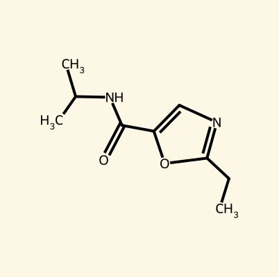 CCc1ncc(C(=O)NC(C)C)o1